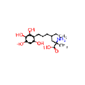 CCC(CCCc1c(O)cc(O)c(O)c1O)CC(C)(N)C(=O)O